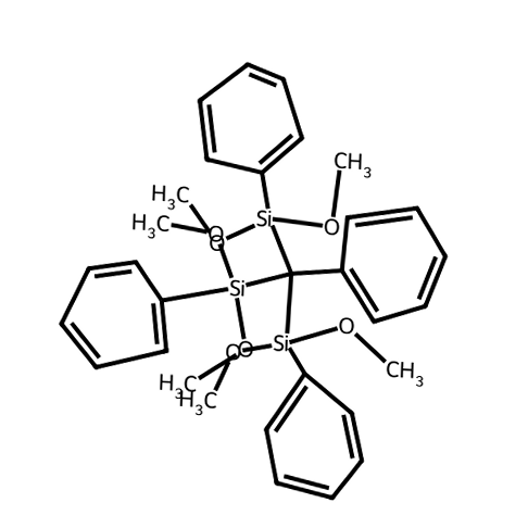 CO[Si](OC)(c1ccccc1)C(c1ccccc1)([Si](OC)(OC)c1ccccc1)[Si](OC)(OC)c1ccccc1